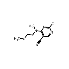 COCCN(C)c1nc(Cl)ncc1C#N